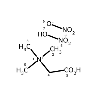 C[N+](C)(C)CC(=O)O.O=[N+]([O-])O.O=[N+]([O-])[O-]